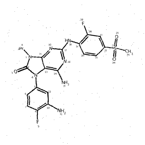 CC(C)n1c(=O)n(-c2ccc(F)c(N)c2)c2c(N)nc(Nc3ccc(S(C)(=O)=O)cc3F)nc21